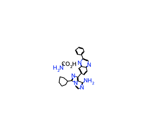 NC(=O)O.Nc1nccn2c(C3CCCCC3)nc(-c3ccc4ncc(-c5ccccc5)nc4c3)c12